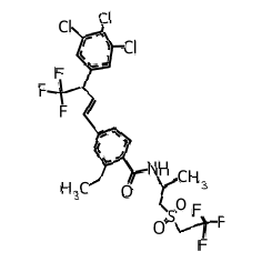 CCc1cc(/C=C/C(c2cc(Cl)c(Cl)c(Cl)c2)C(F)(F)F)ccc1C(=O)NC(C)CS(=O)(=O)CC(F)(F)F